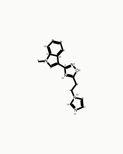 Cn1cc(-c2noc(CCn3ccnc3)n2)c2ccccc21